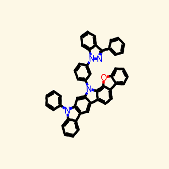 c1ccc(-c2nn(-c3cccc(-n4c5cc6c(cc5c5ccc7c8ccccc8oc7c54)c4ccccc4n6-c4ccccc4)c3)c3ccccc23)cc1